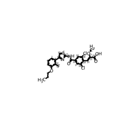 CCCOc1cccc(-c2csc(NC(=O)c3cc(Cl)c(/C=C(\OC)C(=O)O)c(Cl)c3)n2)c1F